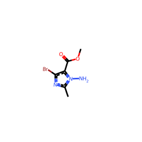 COC(=O)c1c(Br)nc(C)n1N